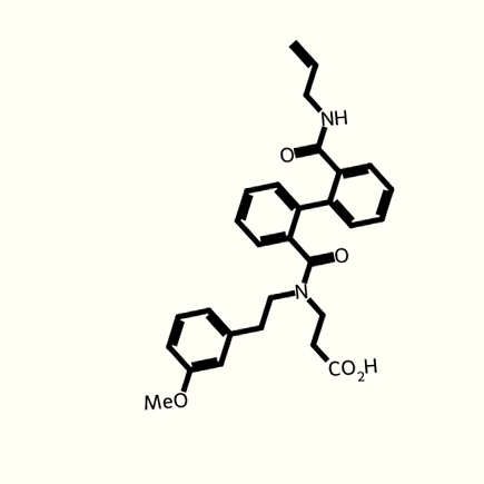 C=CCNC(=O)c1ccccc1-c1ccccc1C(=O)N(CCC(=O)O)CCc1cccc(OC)c1